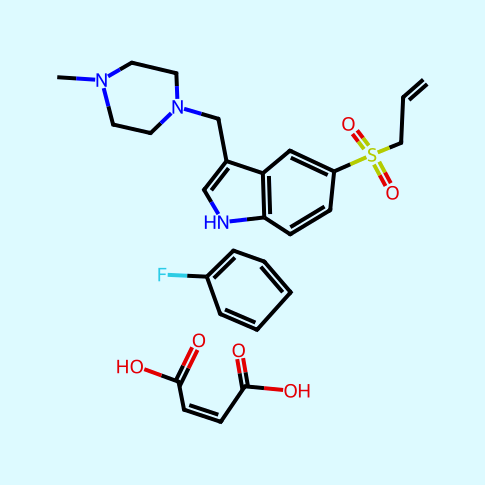 C=CCS(=O)(=O)c1ccc2[nH]cc(CN3CCN(C)CC3)c2c1.Fc1ccccc1.O=C(O)/C=C\C(=O)O